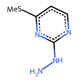 CSc1ccnc(NN)n1